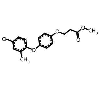 COC(=O)CCOc1ccc(Oc2ncc(Cl)cc2C)cc1